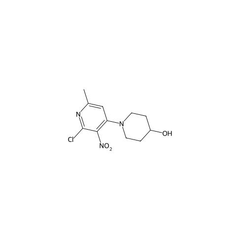 Cc1cc(N2CCC(O)CC2)c([N+](=O)[O-])c(Cl)n1